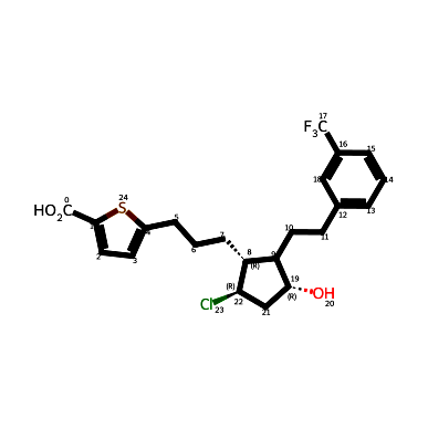 O=C(O)c1ccc(CCC[C@@H]2C(CCc3cccc(C(F)(F)F)c3)[C@H](O)C[C@H]2Cl)s1